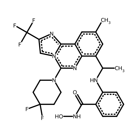 Cc1cc(C(C)Nc2ccccc2C(=O)NO)c2nc(N3CCC(F)(F)CC3)n3cc(C(F)(F)F)nc3c2c1